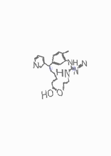 CCCN/C(=N/C#N)Nc1cc(/C(=C\CCCC(=O)O)c2cccnc2)ccc1C